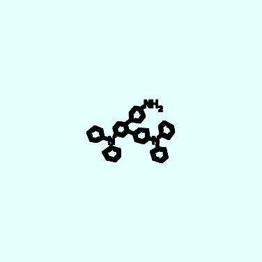 Nc1ccc(-c2ccc(N(c3ccccc3)c3ccccc3)cc2-c2ccc(N(c3ccccc3)c3ccccc3)cc2)cc1